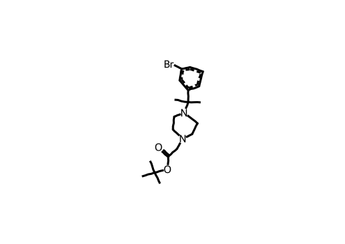 CC(C)(C)OC(=O)CN1CCN(C(C)(C)c2cccc(Br)c2)CC1